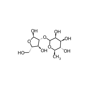 C[C@H]1OC(O[C@@H]2[C@@H](O)[C@H](CO)O[C@H]2O)[C@@H](O)[C@@H](O)[C@@H]1O